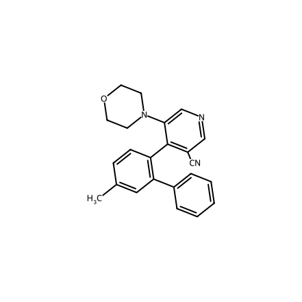 Cc1ccc(-c2c(C#N)cncc2N2CCOCC2)c(-c2ccccc2)c1